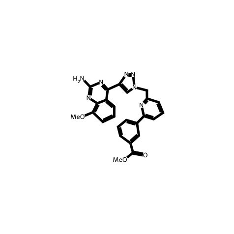 COC(=O)c1cccc(-c2cccc(Cn3cc(-c4nc(N)nc5c(OC)cccc45)nn3)n2)c1